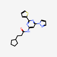 O=C(CCC1CCCC1)Nc1cc(-n2cccn2)nc(-c2cccs2)n1